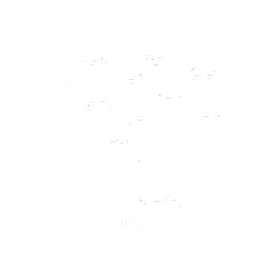 CN(C)CCNc1cc2c(c3ncccc13)NSc1ccccc1-2